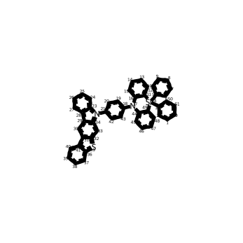 c1ccc([Si]2(c3ccccc3)c3ccccc3N(c3ccc(-n4c5ccccc5c5cc6c(cc54)sc4ccccc46)cc3)c3ccccc32)cc1